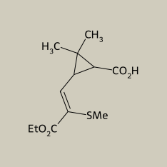 CCOC(=O)/C(=C/C1C(C(=O)O)C1(C)C)SC